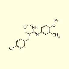 Cc1cc(/N=C2\NCOCN2Cc2ccc(Cl)cc2)ccc1OC(C)C